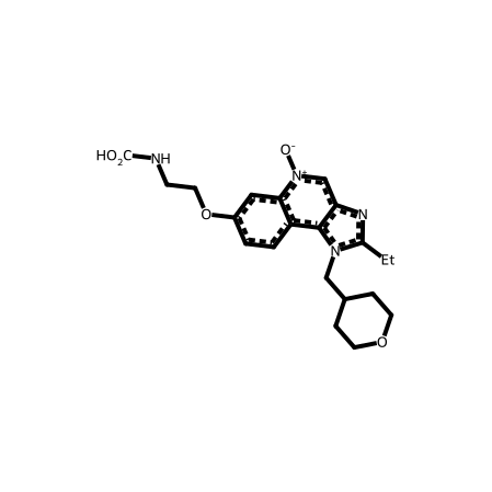 CCc1nc2c[n+]([O-])c3cc(OCCNC(=O)O)ccc3c2n1CC1CCOCC1